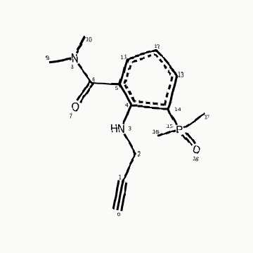 C#CCNc1c(C(=O)N(C)C)cccc1P(C)(C)=O